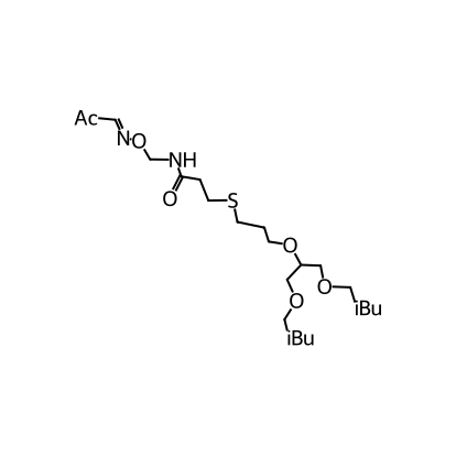 CCC(C)COCC(COCC(C)CC)OCCCSCCC(=O)NCO/N=C/C(C)=O